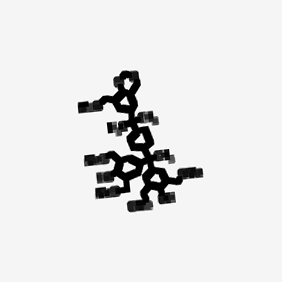 COCc1cc(C(C)(c2ccc(C(C)(C)c3cc(COC)c4c(c3)COCO4)cc2)c2cc(COC)c(O)c(COC)c2)cc(COC)c1O